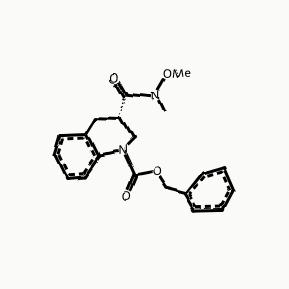 CON(C)C(=O)[C@H]1Cc2ccccc2N(C(=O)OCc2ccccc2)C1